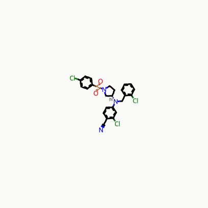 N#Cc1ccc(N(Cc2ccccc2Cl)[C@H]2CCN(S(=O)(=O)c3ccc(Cl)cc3)C2)cc1Cl